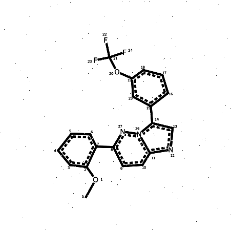 COc1ccccc1-c1ccc2ncc(-c3cccc(OC(F)(F)F)c3)n2n1